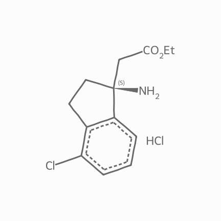 CCOC(=O)C[C@@]1(N)CCc2c(Cl)cccc21.Cl